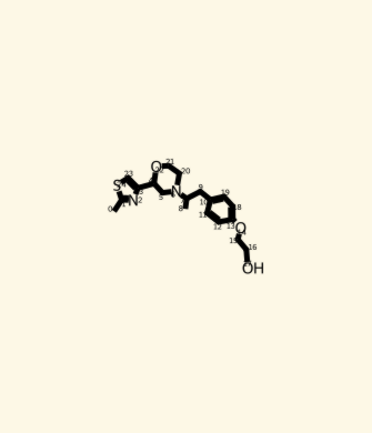 Cc1nc(C2CN(C(C)Cc3ccc(OCCO)cc3)CCO2)cs1